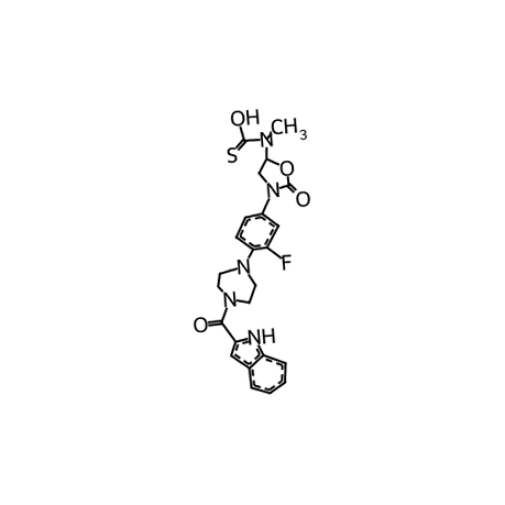 CN(C(O)=S)C1CN(c2ccc(N3CCN(C(=O)c4cc5ccccc5[nH]4)CC3)c(F)c2)C(=O)O1